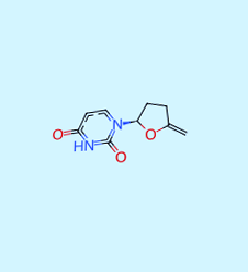 C=C1CC[C@H](n2ccc(=O)[nH]c2=O)O1